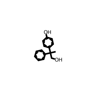 CC(CO)(c1ccccc1)c1ccc(O)cc1